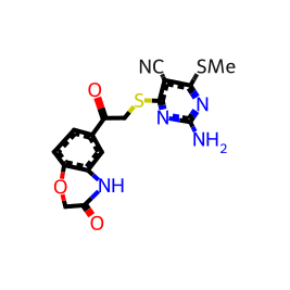 CSc1nc(N)nc(SCC(=O)c2ccc3c(c2)NC(=O)CO3)c1C#N